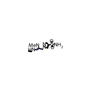 C=CN/C=C(/Cn1cc(S(N)(=O)=O)cn1)NC